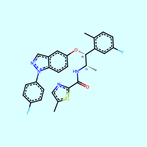 Cc1cnc(C(=O)N[C@@H](C)[C@H](Oc2ccc3c(cnn3-c3ccc(F)cc3)c2)c2cc(F)ccc2C)s1